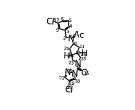 CC(=O)N(Cc1cccc(Cl)c1)[C@@H]1C[C@@H]2CN(C(=O)n3cc(Cl)cn3)C[C@@H]2C1